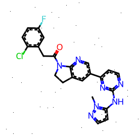 Cn1nccc1Nc1nccc(-c2cnc3c(c2)CCN3C(=O)Cc2cc(F)ccc2Cl)n1